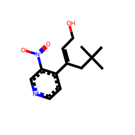 CC(C)(C)CC(=CCO)c1ccncc1[N+](=O)[O-]